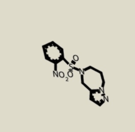 O=[N+]([O-])c1ccccc1S(=O)(=O)N1CCCn2nccc2C1